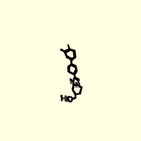 Cc1ccc(-c2ccc(-c3cn4c(n3)CC(CO)CC4)cc2)cc1C